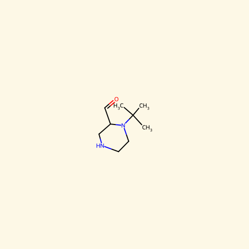 CC(C)(C)N1CCNCC1C=O